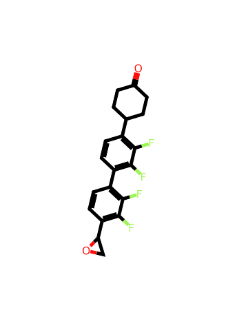 O=C1CCC(c2ccc(-c3ccc(C4CO4)c(F)c3F)c(F)c2F)CC1